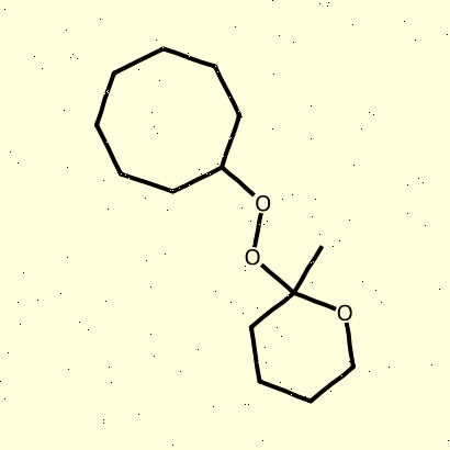 CC1(OOC2CCCCCCC2)CCCCO1